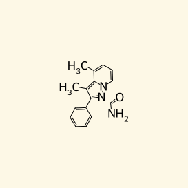 Cc1cccn2nc(-c3ccccc3)c(C)c12.NC=O